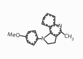 COc1ccc(N2CCc3c(C)nc4ccccc4c32)cc1